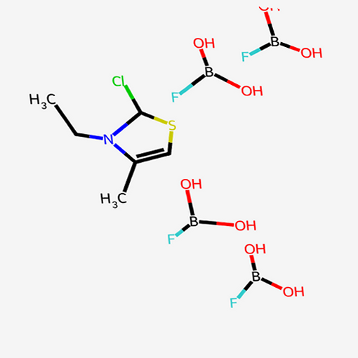 CCN1C(C)=CSC1Cl.OB(O)F.OB(O)F.OB(O)F.OB(O)F